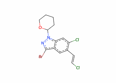 ClC=Cc1cc2c(Br)nn(C3CCCCO3)c2cc1Cl